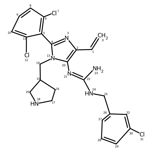 C=Cc1nc(-c2c(Cl)cccc2Cl)n(CC2CCNC2)c1/N=C(\N)NCc1cccc(Cl)c1